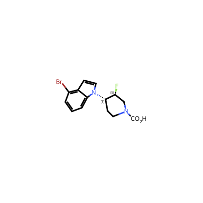 O=C(O)N1CC[C@H](n2ccc3c(Br)cccc32)[C@@H](F)C1